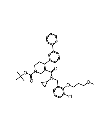 COCCCOc1c(Cl)cccc1CN(C(=O)C1=C(c2cccc(-c3ccccc3)c2)CCN(C(=O)OC(C)(C)C)C1)C1CC1